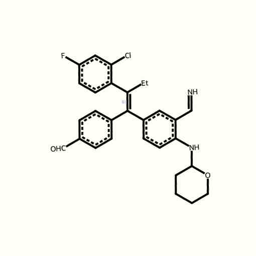 CC/C(=C(/c1ccc(C=O)cc1)c1ccc(NC2CCCCO2)c(C=N)c1)c1ccc(F)cc1Cl